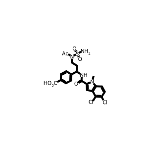 CC(=O)N(CCC(NC(=O)c1cc2c(Cl)c(Cl)ccc2n1C)c1ccc(C(=O)O)cc1)S(N)(=O)=O